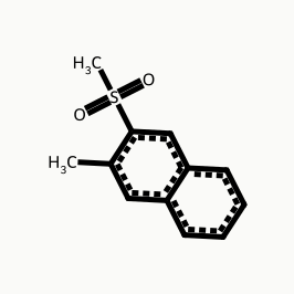 Cc1cc2ccccc2cc1S(C)(=O)=O